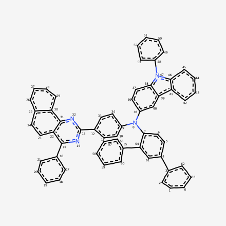 c1ccc(-c2ccc(N(c3ccc(-c4nc(-c5ccccc5)c5ccc6ccccc6c5n4)cc3)c3ccc4c(c3)c3ccccc3n4-c3ccccc3)c(-c3ccccc3)c2)cc1